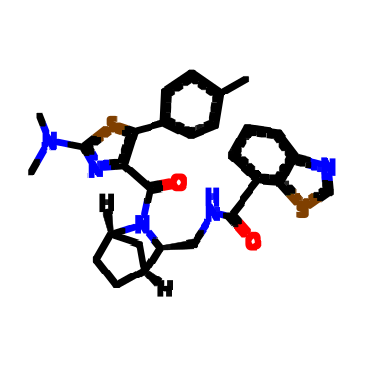 Cc1ccc(-c2sc(N(C)C)nc2C(=O)N2[C@H]3CC[C@H](C3)[C@@H]2CNC(=O)c2cccc3ncsc23)cc1